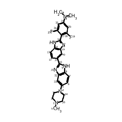 CN1CCN(c2ccc3[nH]c(-c4ccc5[nH]c(-c6c(F)cc(N(C)C)cc6F)nc5c4)nc3c2)CC1